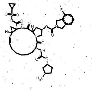 C[C@@H]1CC[C@@H](OC(=O)N[C@H]2CCCCC/C=C\[C@@H]3C[C@@]3(C(=O)NS(=O)(=O)C3CC3)NC(=O)[C@@H]3C[C@@H](OC(=O)N4Cc5cccc(F)c5C4)CN3C2=O)C1